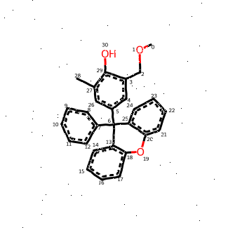 COCc1cc(C2(c3ccccc3)c3ccccc3Oc3ccccc32)cc(C)c1O